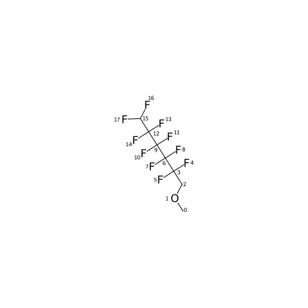 COCC(F)(F)C(F)(F)C(F)(F)C(F)(F)C(F)F